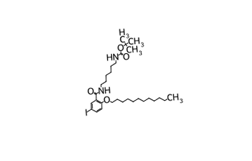 CCCCCCCCCCCCOc1ccc(I)cc1C(=O)NCCCCCCNC(=O)OC(C)(C)C